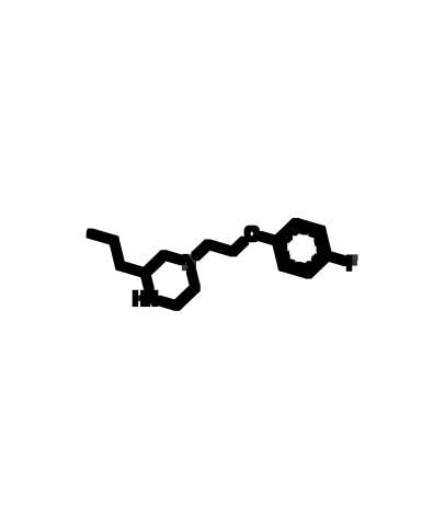 CCCC1CN(CCOc2ccc(F)cc2)CCN1